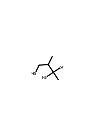 CC(CS)C(C)(S)S